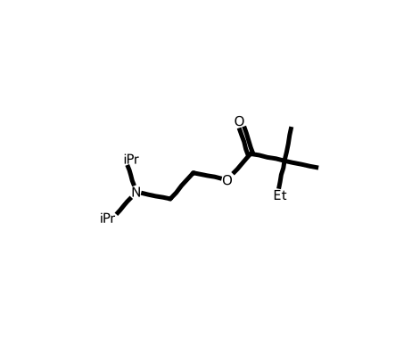 CCC(C)(C)C(=O)OCCN(C(C)C)C(C)C